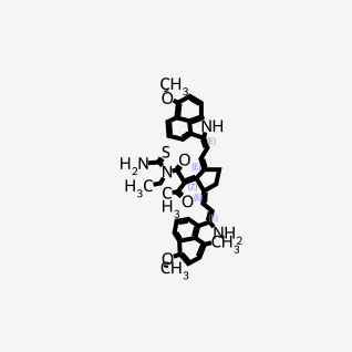 CCN(C(=O)/C(C(C)=O)=C1C(=C/C=C(/N)c2cccc3c(OC)ccc(C)c23)/CCC/1=C\C=c1\[nH]c2ccc(OC)c3cccc1c23)C(N)=S